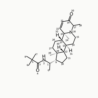 CC(NC(=O)C(C)(C)C)[C@H]1CC[C@H]2[C@@H]3CCN4C(C)C(=O)C=C[C@]4(C)[C@H]3CC[C@]12C